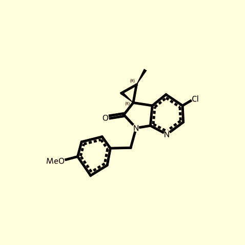 COc1ccc(CN2C(=O)[C@@]3(C[C@H]3C)c3cc(Cl)cnc32)cc1